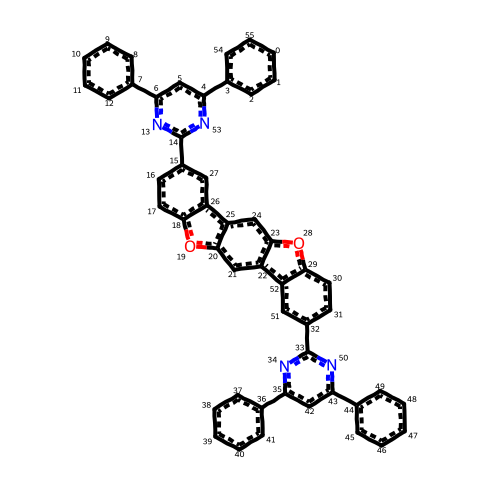 c1ccc(-c2cc(-c3ccccc3)nc(-c3ccc4oc5cc6c(cc5c4c3)oc3ccc(-c4nc(-c5ccccc5)cc(-c5ccccc5)n4)cc36)n2)cc1